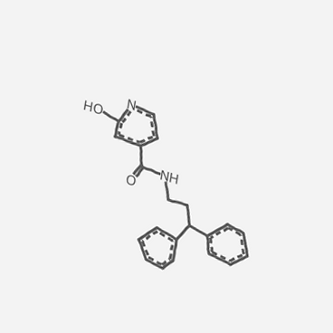 O=C(NCCC(c1ccccc1)c1ccccc1)c1ccnc(O)c1